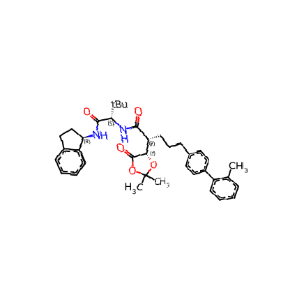 Cc1ccccc1-c1ccc(CCC[C@@H](C(=O)N[C@H](C(=O)N[C@@H]2CCc3ccccc32)C(C)(C)C)[C@@H]2OC(C)(C)OC2=O)cc1